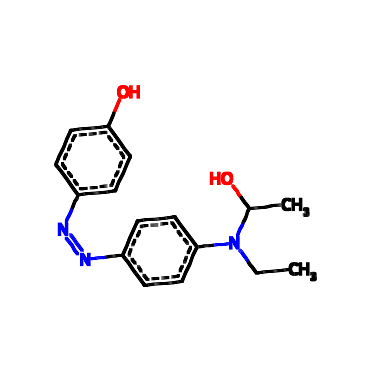 CCN(c1ccc(/N=N\c2ccc(O)cc2)cc1)C(C)O